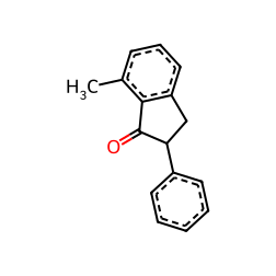 Cc1cccc2c1C(=O)C(c1ccccc1)C2